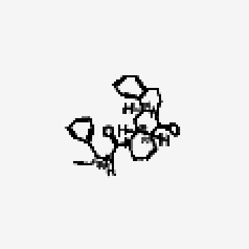 CC[C@@H](NC(=O)N1CCC[C@H]2C(=O)N3CCc4ccccc4[C@@H]3C[C@H]21)c1ccccc1